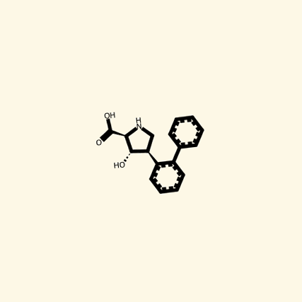 O=C(O)[C@H]1NC[C@@H](c2ccccc2-c2ccccc2)[C@@H]1O